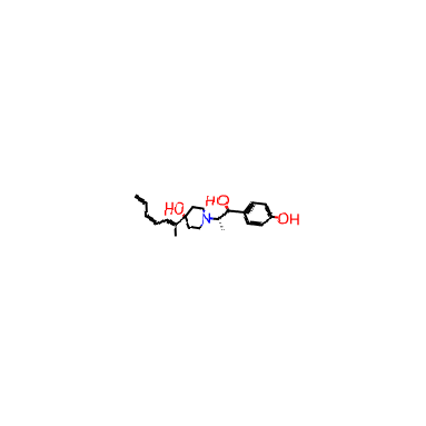 C=C/C=C\C=C(/C)C1(O)CCN([C@@H](C)[C@@H](O)c2ccc(O)cc2)CC1